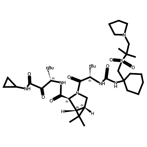 CCCC[C@H](NC(=O)[C@@H]1[C@@H]2[C@H](CN1C(=O)[C@@H](NC(=O)NC1(CS(=O)(=O)C(C)(C)CN3CCCC3)CCCCC1)C(C)(C)C)C2(C)C)C(=O)C(=O)NC1CC1